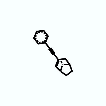 CN1C2C=C(C#Cc3ccccc3)CC1CC2